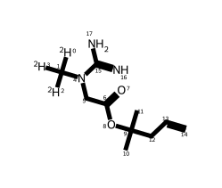 [2H]C([2H])([2H])N(CC(=O)OC(C)(C)CC=C)C(=N)N